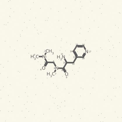 CN(C)C(=O)CN(C)C(=O)C(N)Cc1cccnc1